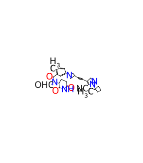 Cc1ccc(N2CC(C#Cc3cnn(C4(C)CCC4)c3C#N)C2)cc1C(=O)N(C=O)C1CCC(=O)NC1=O